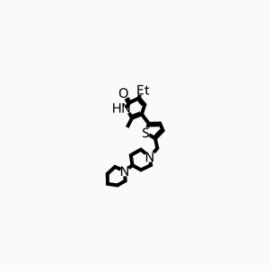 CCc1cc(-c2ccc(CN3CCC(N4CCCCC4)CC3)s2)c(C)[nH]c1=O